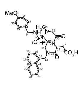 COc1ccc(CNC(=O)N2[C@H]3CN(Cc4cccc5ccccc45)C(=O)[C@H](CC(=O)O)N3C(=O)CN2C)cc1